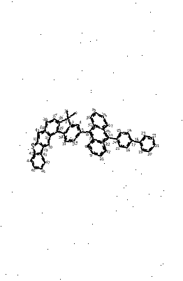 CC1(C)c2cc(-c3c4ccccc4c(-c4ccc(-c5ccccc5)cc4)c4ccccc34)ccc2-c2c1ccc1cc3sc4ccccc4c3cc21